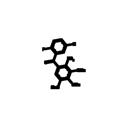 COc1cc(C(=O)c2cc(Cl)ccc2F)c([N+](=O)[O-])c(OC)c1OC